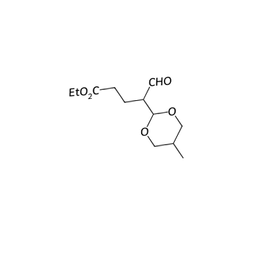 CCOC(=O)CCC(C=O)C1OCC(C)CO1